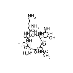 C[C@@H]1NC(=O)[C@@H](NC(=O)C[C@@H](N)CCCN)CNC(=O)[C@H](C2C[C@@H](O)NC(=N)N2)NC(=O)/C(=C/NC(N)=O)NC(=O)[C@H](CN)NC1=O